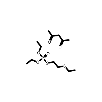 CC(=O)CC(C)=O.CCOP(=O)(OCC)SCCSCC